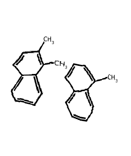 Cc1ccc2ccccc2c1C.Cc1cccc2ccccc12